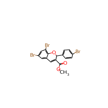 COC(=O)C1=Cc2cc(Br)cc(Br)c2OC1c1ccc(Br)cc1